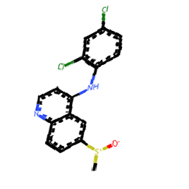 C[S+]([O-])c1ccc2nccc(Nc3ccc(Cl)cc3Cl)c2c1